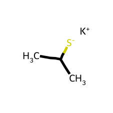 CC(C)[S-].[K+]